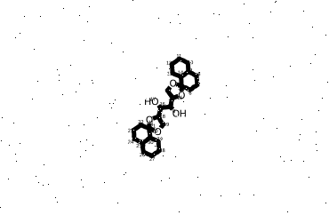 OC(C1COC2(CCCC3CCCCC32)O1)C(O)C1COC2(CCCC3CCCCC32)O1